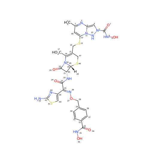 CC1=NC2=CN(C(=O)NO)NN2C(SCC2=C(C(=O)O)N3C(=O)[C@@H](NC(=O)C(=NOCc4ccc(C(=O)NO)cc4)c4csc(N)n4)[C@H]3SC2)=C1